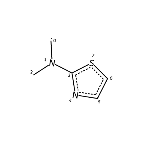 [CH2]N(C)c1nccs1